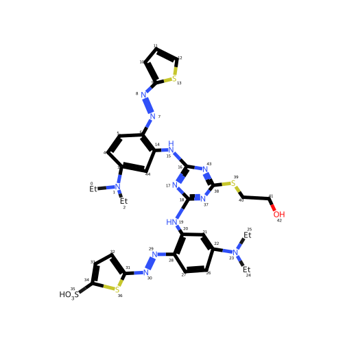 CCN(CC)c1ccc(/N=N/c2cccs2)c(Nc2nc(Nc3cc(N(CC)CC)ccc3/N=N/c3ccc(S(=O)(=O)O)s3)nc(SCCO)n2)c1